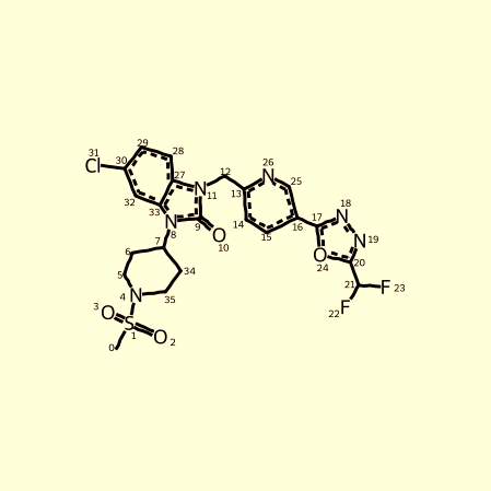 CS(=O)(=O)N1CCC(n2c(=O)n(Cc3ccc(-c4nnc(C(F)F)o4)cn3)c3ccc(Cl)cc32)CC1